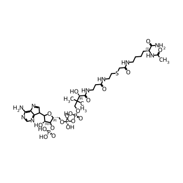 CC(=O)N[C@@H](CCCCNC(=O)CSCCNC(=O)CCNC(=O)[C@H](O)C(C)(C)COP(=O)(O)OP(=O)(O)OC[C@H]1OC(C2C=Nc3c(N)ncnc32)[C@H](O)[C@@H]1OP(=O)(O)O)C(N)=O